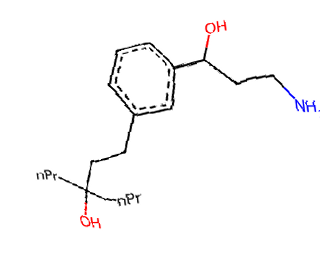 CCCC(O)(CCC)CCc1cccc(C(O)CCN)c1